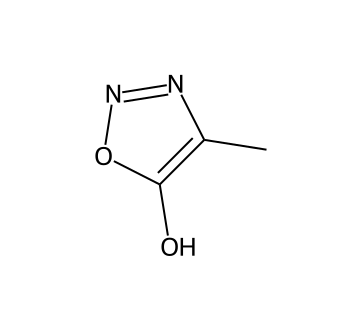 Cc1nnoc1O